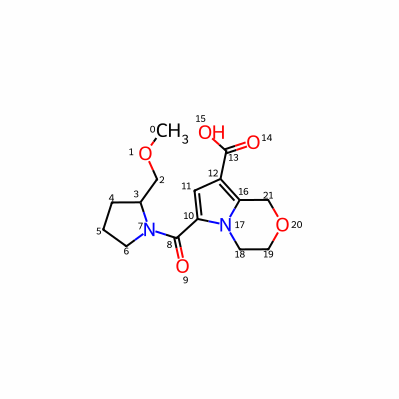 COCC1CCCN1C(=O)c1cc(C(=O)O)c2n1CCOC2